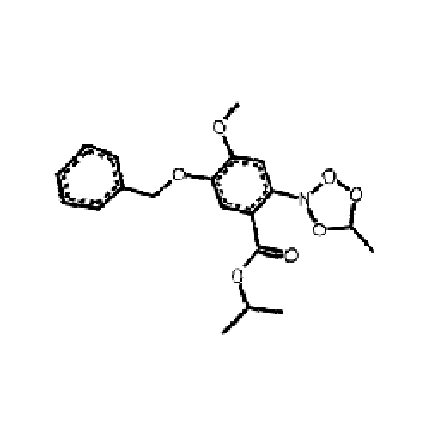 COc1cc(N2OOC(C)O2)c(C(=O)OC(C)C)cc1OCc1ccccc1